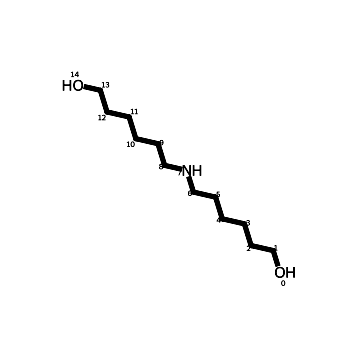 OCCCCCCNCCCCCCO